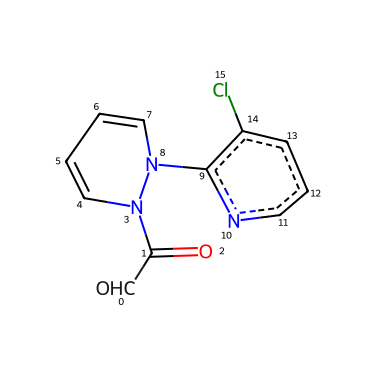 O=CC(=O)N1C=CC=CN1c1ncccc1Cl